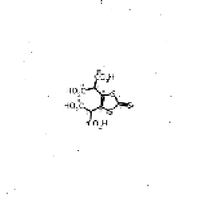 O=C(O)C(C(=O)O)c1sc(=S)sc1C(C(=O)O)C(=O)O